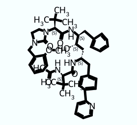 COc1ccccc1CN1CCN([C@H](C(=O)N[C@@H](Cc2ccccc2)[C@@H](O)C[C@H](Cc2ccc(-c3ccccn3)cc2)NC(=O)[C@@H](NC(=O)O)C(C)(C)C)C(C)(C)C)C1=O